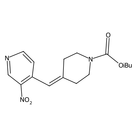 CC(C)COC(=O)N1CCC(=Cc2ccncc2[N+](=O)[O-])CC1